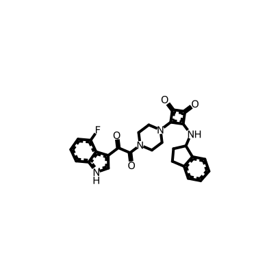 O=C(C(=O)N1CCN(c2c(NC3CCc4ccccc43)c(=O)c2=O)CC1)c1c[nH]c2cccc(F)c12